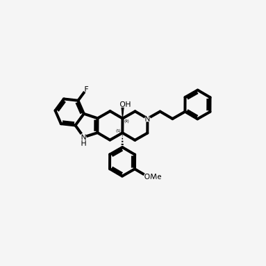 COc1cccc([C@@]23CCN(CCc4ccccc4)C[C@@]2(O)Cc2c([nH]c4cccc(F)c24)C3)c1